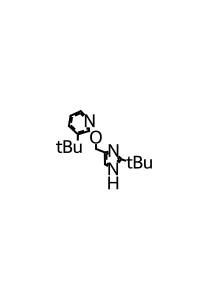 CC(C)(C)c1nc(COc2ncccc2C(C)(C)C)c[nH]1